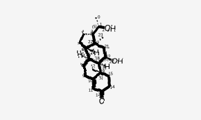 C[C@H](O)[C@H]1CC[C@H]2[C@@H]3CCC4=CC(=O)CC[C@@]4(C)[C@@H]3[C@H](O)C[C@]12C